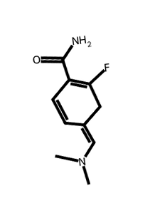 CN(C)/C=C1\C=CC(C(N)=O)=C(F)C1